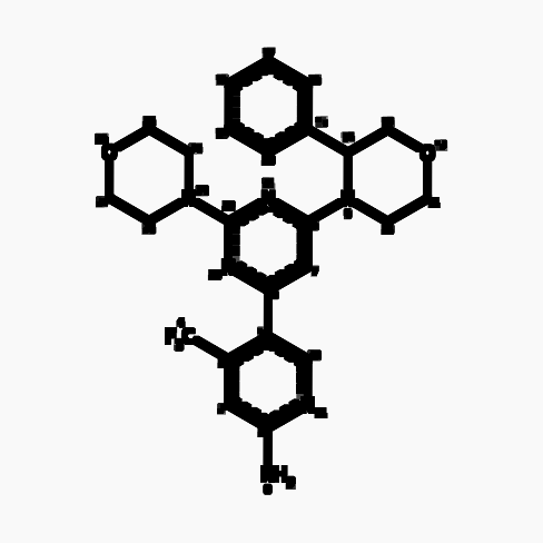 Nc1cc(C(F)(F)F)c(-c2cc(N3CCOCC3c3ccccc3)nc(N3CCOCC3)n2)cn1